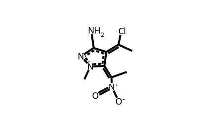 C/C(Cl)=c1/c(N)nn(C)/c1=C(/C)[N+](=O)[O-]